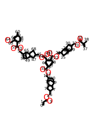 C=CC(=O)OCC1CC2C3CC(COC(=O)c4ccc(C(=O)OCC5CC6CC5C5CC(COC(=O)C(=C)C)CC65)c(C(=O)OCC5CC6C7CC(COC(=O)c8ccc(C)cc8C=O)C(C7)C6C5)c4)C(C3)C2C1